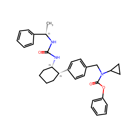 C[C@H](NC(=O)N[C@H]1CCCC[C@H]1c1ccc(CN(C(=O)Oc2ccccc2)C2CC2)cc1)c1ccccc1